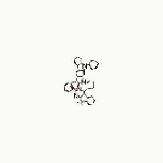 C[Si]1(C)c2ccccc2-c2c(-c3ccccc3-n3c4ccccc4c4cc5c6ccccc6n(-c6ccccc6)c5cc43)nc(-c3ccccc3)nc21